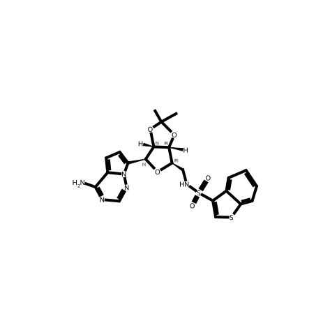 CC1(C)O[C@@H]2[C@H](O1)[C@@H](CNS(=O)(=O)c1csc3ccccc13)O[C@H]2c1ccc2c(N)ncnn12